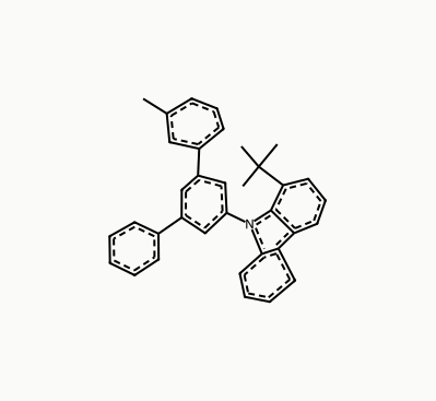 Cc1cccc(-c2cc(-c3ccccc3)cc(-n3c4ccccc4c4cccc(C(C)(C)C)c43)c2)c1